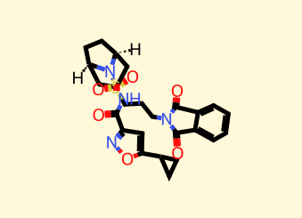 O=C(N[C@@H]1C[C@H]2CC[C@@H](C1)N2S(=O)(=O)CCCN1C(=O)c2ccccc2C1=O)c1cc(C2CC2)on1